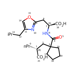 CCC[C@H](CC1(C(=O)N[C@@H](Cc2nc(CC(C)C)co2)C(=O)O)CCCC1)C(=O)O